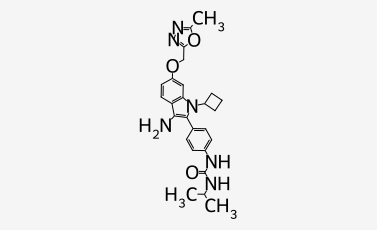 Cc1nnc(COc2ccc3c(N)c(-c4ccc(NC(=O)NC(C)C)cc4)n(C4CCC4)c3c2)o1